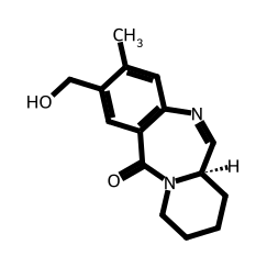 Cc1cc2c(cc1CO)C(=O)N1CCCC[C@@H]1C=N2